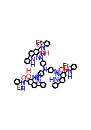 CCc1ccccc1NC(=O)c1cc2ccc3c4ccccc4[nH]c3c2c(N=Nc2ccc(N(c3ccc(N=Nc4c(O)c(C(=O)Nc5ccccc5CC)cc5ccc6c7ccccc7[nH]c6c45)cc3)c3ccc(N=Nc4c(O)c(C(=O)Nc5ccccc5CC)cc5ccc6c7ccccc7[nH]c6c45)cc3)cc2)c1O